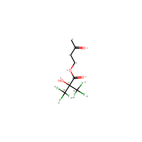 CC(=O)CCOC(=O)C(O)(C(F)(F)F)C(F)(F)F